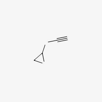 C#COC1CO1